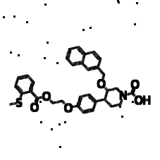 CSc1ccccc1C(=O)OCCOc1ccc(C2CCN(C(=O)O)CC2OCc2ccc3ccccc3c2)cc1